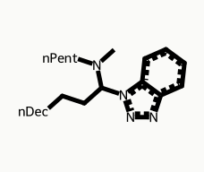 CCCCCCCCCCCCC(N(C)CCCCC)n1nnc2ccccc21